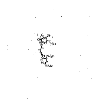 CCCNc1nc(NC)ncc1C#CCCCNC(=O)[C@H](C)N(C)C(=O)OC(C)(C)C